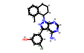 Cc1cccc2c1C(n1nc(-c3cc(O)cc(F)c3)c3c(N)ncnc31)CCC2